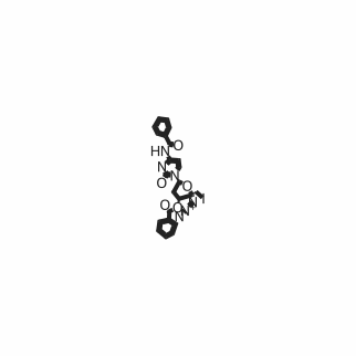 [N-]=[N+]=N[C@]1(CI)O[C@@H](n2ccc(NC(=O)c3ccccc3)nc2=O)C[C@@H]1OC(=O)c1ccccc1